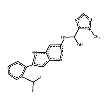 Cn1ncnc1C(O)Nc1cc2[nH]c(-c3ccccc3C(F)F)cc2cn1